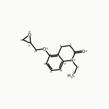 CCN1C(=O)CCc2c(OCC3CO3)cccc21